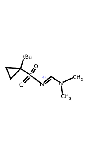 CN(C)/C=N/S(=O)(=O)C1(C(C)(C)C)CC1